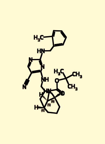 Cc1ccccc1CNc1ncc(C#N)c(NCC2C[C@H]3CCC[C@@H](C2)[C@@H]3NC(=O)OC(C)(C)C)n1